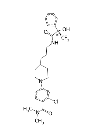 CN(C)C(=O)c1ccc(N2CCC(CCCNC(=O)[C@@](O)(c3ccccc3)C(F)(F)F)CC2)nc1Cl